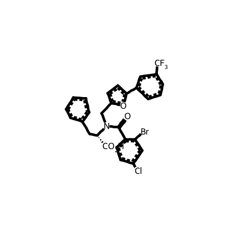 O=C(O)[C@H](Cc1ccccc1)N(Cc1ccc(-c2cccc(C(F)(F)F)c2)o1)C(=O)c1ccc(Cl)cc1Br